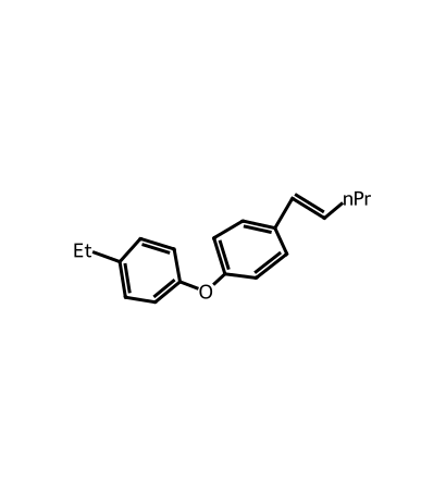 CCC/C=C/c1ccc(Oc2ccc(CC)cc2)cc1